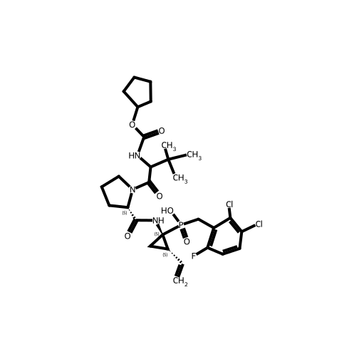 C=C[C@@H]1C[C@]1(NC(=O)[C@@H]1CCCN1C(=O)C(NC(=O)OC1CCCC1)C(C)(C)C)P(=O)(O)Cc1c(F)ccc(Cl)c1Cl